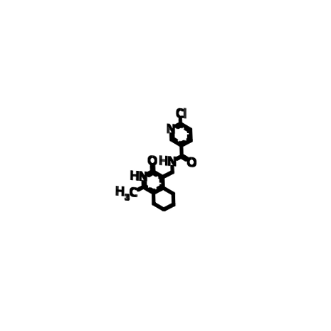 Cc1[nH]c(=O)c(CNC(=O)c2ccc(Cl)nc2)c2c1CCCC2